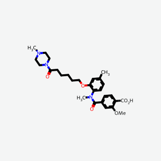 COc1cc(C(=O)N(C)c2ccc(C)cc2OCCCCCC(=O)N2CCN(C)CC2)ccc1C(=O)O